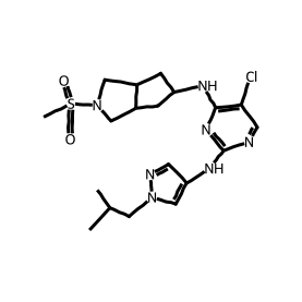 CC(C)Cn1cc(Nc2ncc(Cl)c(NC3CC4CN(S(C)(=O)=O)CC4C3)n2)cn1